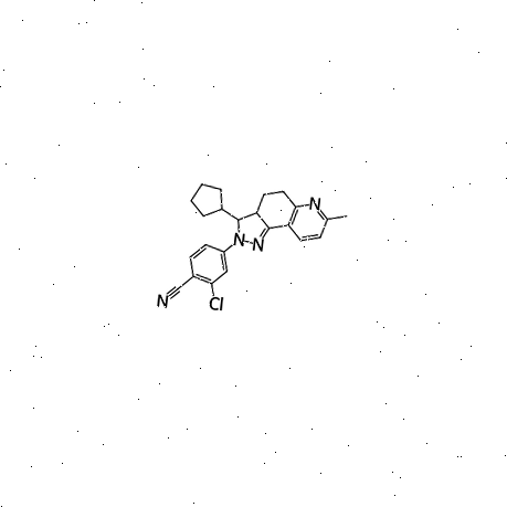 Cc1ccc2c(n1)CCC1C2=NN(c2ccc(C#N)c(Cl)c2)C1C1CCCC1